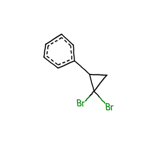 BrC1(Br)CC1c1ccccc1